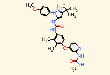 CNC(=O)Nc1cc(Oc2ccc(NC(=O)Nc3cc(C(C)(C)C)nn3-c3ccc(OC)cc3)c(C)c2C)ccn1